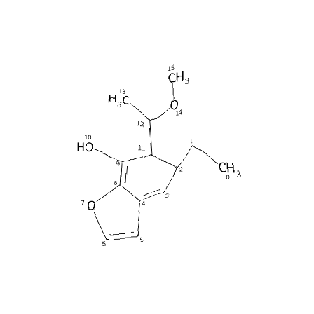 CCC1C=c2ccoc2=C(O)C1C(C)OC